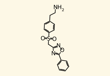 NCCc1ccc(S(=O)(=O)Cc2noc(-c3ccccc3)n2)cc1